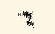 Nc1nc2[nH]cc(CCCNC(=O)NCS(=O)(=O)C[C@H]3O[C@@H](n4cnc5c(N)ncnc54)C(O)C3O)c2c(=O)[nH]1